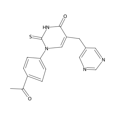 CC(=O)c1ccc(-n2cc(Cc3cncnc3)c(=O)[nH]c2=S)cc1